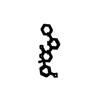 C[C@]1(c2cccc(Cl)c2)CCN(c2cccc(N3CCCCC3)n2)C(=O)O1